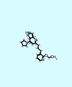 CCOc1ncccc1CCCc1cc(N2CCCC2)c2n[nH]cc2n1